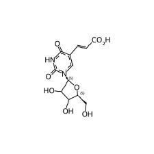 O=C(O)C=Cc1cn([C@H]2O[C@@H](CO)C(O)C2O)c(=O)[nH]c1=O